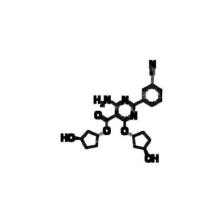 N#Cc1cccc(-c2nc(N)c(C(=O)O[C@@H]3CC[C@@H](O)C3)c(O[C@@H]3CC[C@@H](O)C3)n2)c1